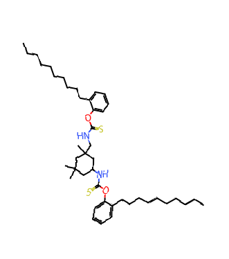 CCCCCCCCCCc1ccccc1OC(=S)NCC1(C)CC(NC(=S)Oc2ccccc2CCCCCCCCCC)CC(C)(C)C1